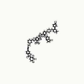 CC1(C)CCC(CN2CCN(c3ccc(C(=O)NS(=O)(=O)c4ccc(NCC5CCCN(CCC#Cc6ccc7c(c6)CN(C6CCC(=O)NC6=O)C7=O)C5)c([N+](=O)[O-])c4)c(Oc4cnc5[nH]ccc5c4)c3)CC2)=C(c2ccc(Cl)cc2)C1